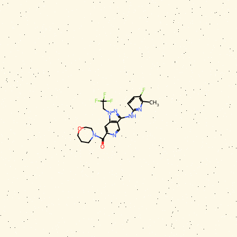 Cc1nc(Nc2nn(CC(F)(F)F)c3cc(C(=O)N4CCCOCC4)ncc23)ccc1F